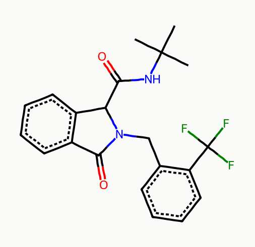 CC(C)(C)NC(=O)C1c2ccccc2C(=O)N1Cc1ccccc1C(F)(F)F